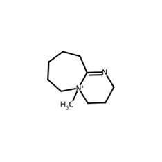 C[N+]12CCCCCC1=NCCC2